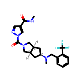 CNC(=O)c1cnn(C(=O)N2C[C@H]3C[C@@H](N(C)Cc4ccccc4C(F)(F)F)C[C@H]3C2)c1